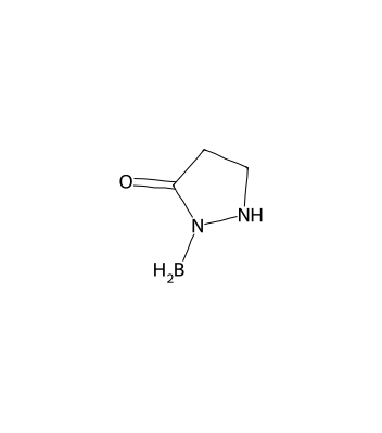 BN1NCCC1=O